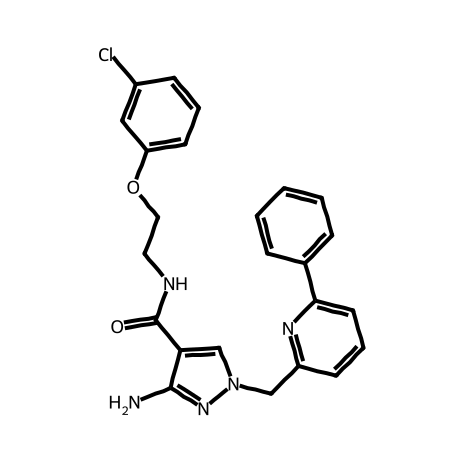 Nc1nn(Cc2cccc(-c3ccccc3)n2)cc1C(=O)NCCOc1cccc(Cl)c1